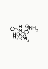 CC1(C)Oc2ccc(C(N)=O)cc2C(NCCc2ccccc2)C1O